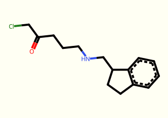 O=C(CCl)CCCNCC1CCc2ccccc21